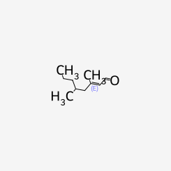 CCCC(C)C/C(C)=C/C=O